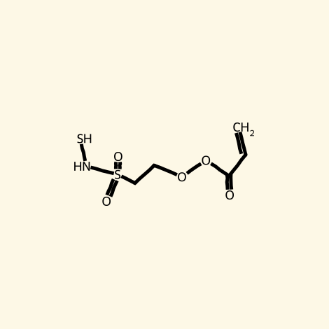 C=CC(=O)OOCCS(=O)(=O)NS